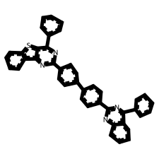 c1ccc(-c2nc(-c3ccc(-c4ccc(-c5nc(-c6ccccc6)c6sc7ccccc7c6n5)cc4)cc3)nc3ccccc23)cc1